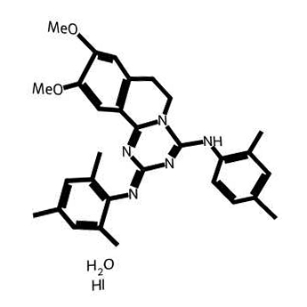 COc1cc2c(cc1OC)-c1nc(=Nc3c(C)cc(C)cc3C)nc(Nc3ccc(C)cc3C)n1CC2.I.O